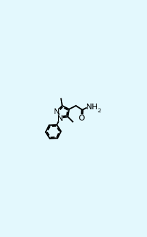 Cc1nn(-c2ccccc2)c(C)c1CC(N)=O